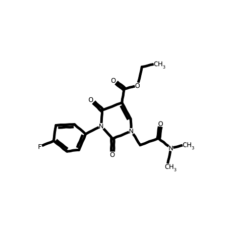 CCOC(=O)c1cn(CC(=O)N(C)C)c(=O)n(-c2ccc(F)cc2)c1=O